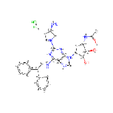 CCC(=O)N[C@H]1CC(n2cnc3c(NCC(c4ccccc4)c4ccccc4)nc(N4CC[C@@H](N)C4)nc32)C(O)[C@@H]1O.Cl.Cl